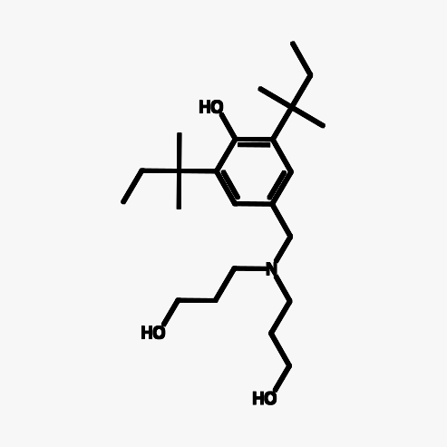 CCC(C)(C)c1cc(CN(CCCO)CCCO)cc(C(C)(C)CC)c1O